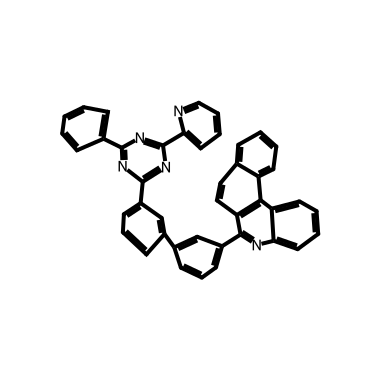 c1ccc(-c2nc(-c3cccc(-c4cccc(-c5nc6ccccc6c6c5ccc5ccccc56)c4)c3)nc(-c3ccccn3)n2)cc1